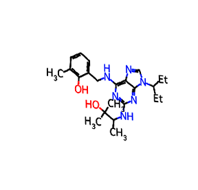 CCC(CC)n1cnc2c(NCc3cccc(C)c3O)nc(NC(C)C(C)(C)O)nc21